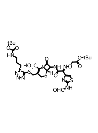 CC(C)(C)OC(=O)CON=C(C(=O)NC1C(=O)N2C(C(=O)O)=C(CSc3nnnn3CCCNC(=O)OC(C)(C)C)CS[C@@H]12)c1csc(NC=O)n1